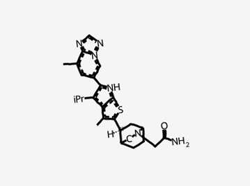 Cc1c([C@H]2CC3CCC2CN3CC(N)=O)sc2[nH]c(-c3cc(C)c4ncnn4c3)c(C(C)C)c12